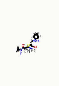 CCn1c(=O)c(=C=CNc2ccccc2)s/c1=C(/C#N)C(=O)NC1CC1